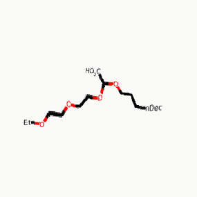 CCCCCCCCCCCCCOC(OCCOCCOCC)C(=O)O